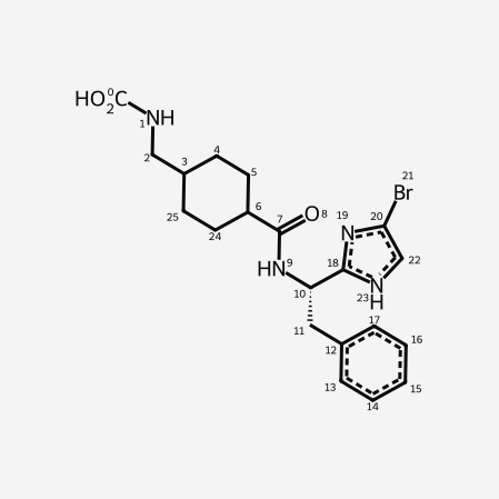 O=C(O)NCC1CCC(C(=O)N[C@@H](Cc2ccccc2)c2nc(Br)c[nH]2)CC1